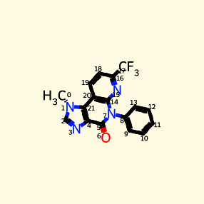 Cn1cnc2c(=O)n(-c3ccccc3)c3nc(C(F)(F)F)ccc3c21